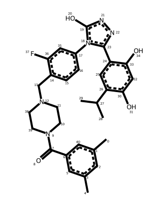 Cc1[c]c(C)cc(C(=O)N2CCN(Cc3ccc(-n4c(O)nnc4-c4cc(C(C)C)c(O)cc4O)cc3F)CC2)c1